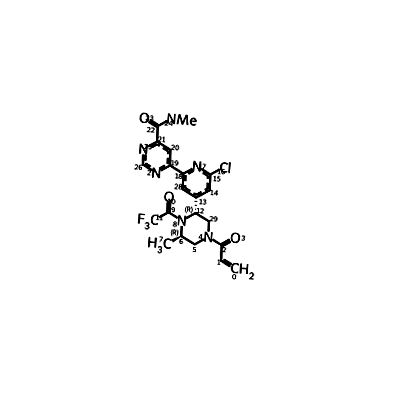 C=CC(=O)N1C[C@@H](C)N(C(=O)C(F)(F)F)[C@H](c2cc(Cl)nc(-c3cc(C(=O)NC)ncn3)c2)C1